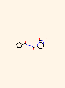 O=C(NNC(=O)[C@@H]1CCC2CN1C(=O)N2O)C1CCCC1